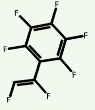 F/[C]=C(\F)c1c(F)c(F)c(F)c(F)c1F